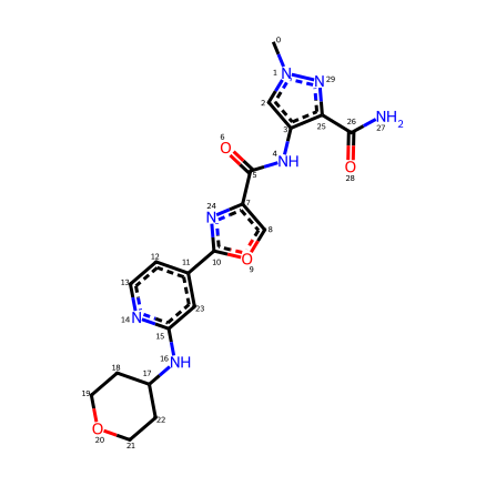 Cn1cc(NC(=O)c2coc(-c3ccnc(NC4CCOCC4)c3)n2)c(C(N)=O)n1